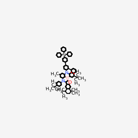 Cc1cc2c3c(c1)N(c1ccc(C(C)(C)C)cc1)c1c(oc4cc5c(cc14)C(C)(C)CCC5(C)C)B3c1cc(C(C)(C)C)ccc1N2c1ccc(-c2ccc([Si](c3ccccc3)(c3ccccc3)c3ccccc3)cc2)cc1-c1ccccc1